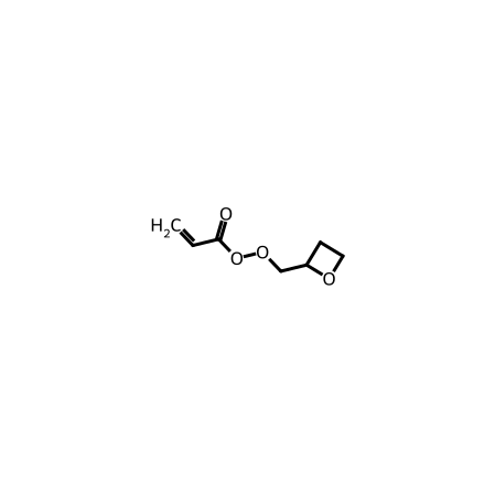 C=CC(=O)OOCC1CCO1